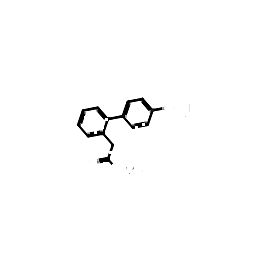 COC(=O)Cc1ccccc1-c1ccc(C(=O)O)cc1